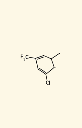 CC1[CH]C(Cl)=CC(C(F)(F)F)=C1